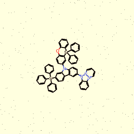 C1=CN2c3ccccc3N(c3ccc4c(c3)c3ccc([Si](c5ccccc5)(c5ccccc5)c5ccccc5)cc3n4-c3ccc4c(c3)[Si](c3ccccc3)(c3ccccc3)c3ccccc3O4)N2C=C1